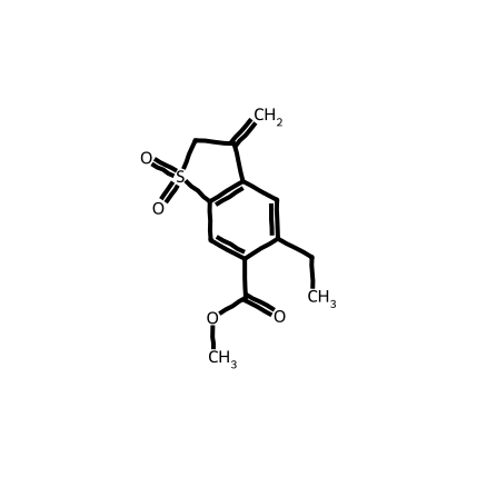 C=C1CS(=O)(=O)c2cc(C(=O)OC)c(CC)cc21